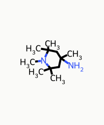 CN1C(C)(C)CC(C)(N)CC1(C)C